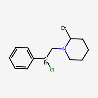 CCC1CCCCN1C[SiH](Cl)c1ccccc1